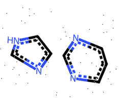 c1c[nH]cn1.c1cncnc1